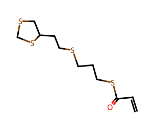 C=CC(=O)SCCCSCCC1CSCS1